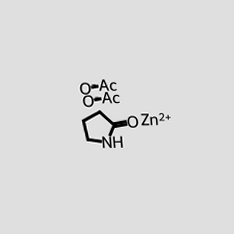 CC(=O)[O-].CC(=O)[O-].O=C1CCCN1.[Zn+2]